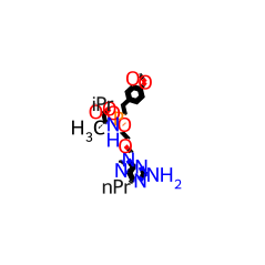 CCCc1nc(N)nc2c1ncn2COCCOP(=O)(CCc1ccc2c(c1)OCO2)N[C@H](C)C(=O)OC(C)C